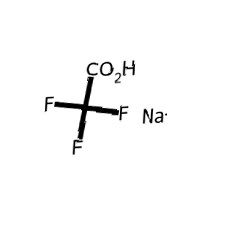 O=C(O)C(F)(F)F.[Na]